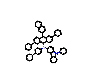 c1ccc(-c2ccc(N(c3ccc4c(c3)c3ccccc3n4-c3ccccc3)c3c4ccc(-c5ccccc5)cc4c(-c4ccc5ccccc5c4)c4ccc(-c5ccccc5)cc34)cc2)cc1